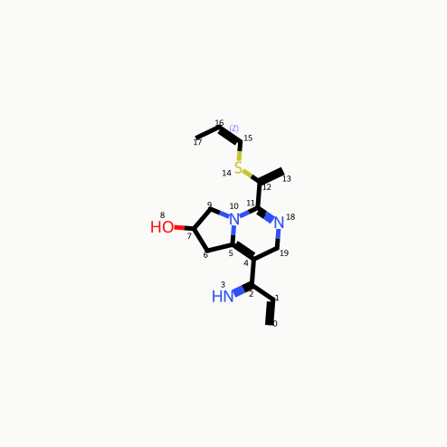 C=CC(=N)C1=C2CC(O)CN2C(C(=C)S/C=C\C)=NC1